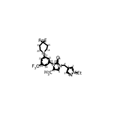 CCn1cc(Cn2cc(C)n(-c3cc(N4CCC(F)(F)CC4)cc(C(F)(F)F)c3)c2=O)cn1